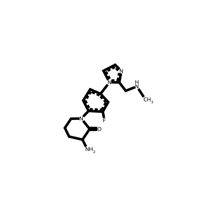 CNCc1nccn1-c1ccc(N2CCCC(N)C2=O)c(F)c1